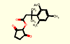 CC(=O)Oc1cc(C)cc(C)c1C(C)(C)CC(=O)OC1C(=O)CCC1=O